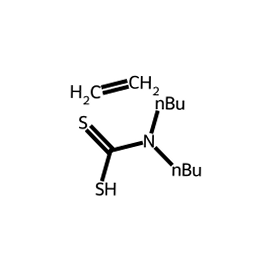 C=C.CCCCN(CCCC)C(=S)S